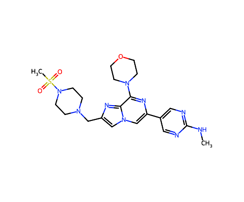 CNc1ncc(-c2cn3cc(CN4CCN(S(C)(=O)=O)CC4)nc3c(N3CCOCC3)n2)cn1